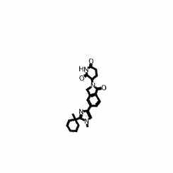 Cn1cc(-c2ccc3c(c2)CN(C2CCC(=O)NC2=O)C3=O)nc1C1(C)CCCCC1